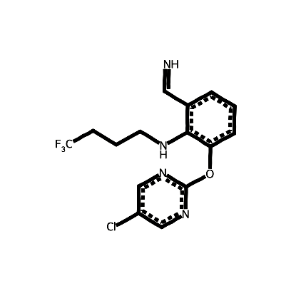 N=Cc1cccc(Oc2ncc(Cl)cn2)c1NCCCC(F)(F)F